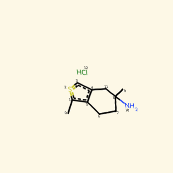 Cc1scc2c1CCC(C)(N)C2.Cl